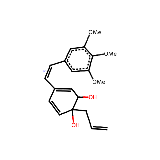 C=CCC1(O)C=CC(/C=C\c2cc(OC)c(OC)c(OC)c2)=CC1O